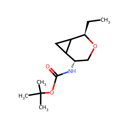 CC[C@H]1OC[C@H](NC(=O)OC(C)(C)C)C2CC21